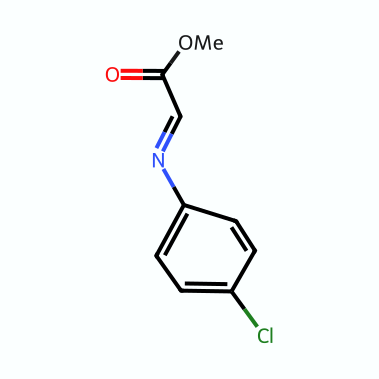 COC(=O)C=Nc1ccc(Cl)cc1